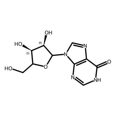 O=c1[nH]cnc2c1ncn2C1OC(CO)[C@@H](O)[C@H]1O